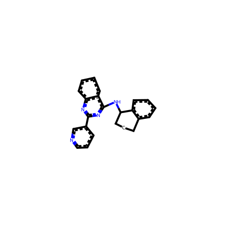 c1cncc(-c2nc(NC3CCCc4ccccc43)c3ccccc3n2)c1